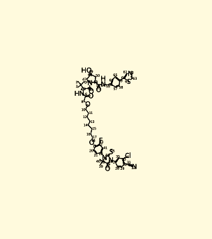 CC(C)(C)[C@H](NC(=O)COCCCCCCCCOc1ccc(N2C(=S)N(c3ccc(C#N)c(Cl)c3)C(=O)C2(C)C)cc1F)C(=O)N1C[C@H](O)C[C@H]1C(=O)NCc1ccc(-c2cncs2)cc1